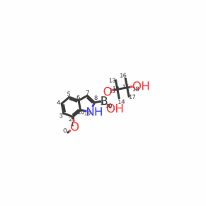 COc1cccc2cc(B(O)OC(C)(C)C(C)(C)O)[nH]c12